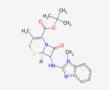 CC1=C(C(=O)OC(C)(C)C)N2C(=O)C(Nc3nc4ccccc4n3C)[C@H]2SC1